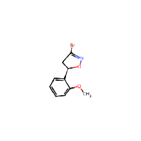 COc1ccccc1[C@H]1CC(Br)=NO1